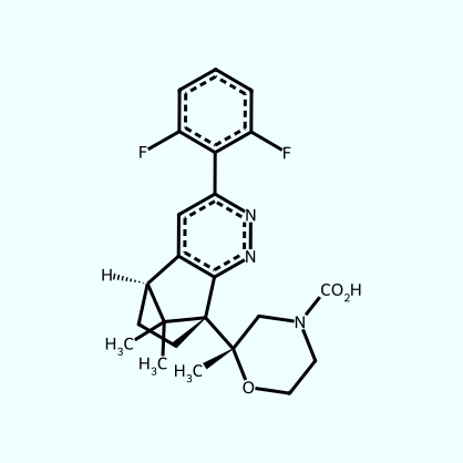 CC1(C)[C@H]2CC[C@]1([C@]1(C)CN(C(=O)O)CCO1)c1nnc(-c3c(F)cccc3F)cc12